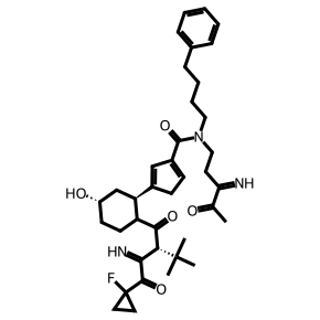 CC(=O)C(=N)CCN(CCCCc1ccccc1)C(=O)C1=CCC([C@@H]2C[C@@H](O)CCC2C(=O)[C@@H](C(=N)C(=O)C2(F)CC2)C(C)(C)C)=C1